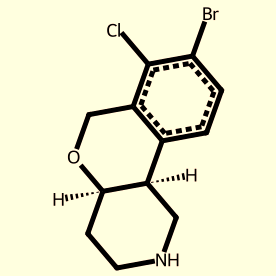 Clc1c(Br)ccc2c1CO[C@@H]1CCNC[C@H]21